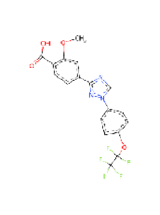 COc1cc(-c2ncn(-c3ccc(OC(F)(F)C(F)(F)F)cc3)n2)ccc1C(=O)O